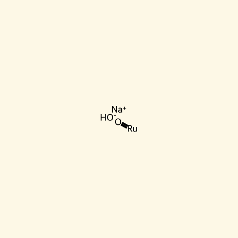 [Na+].[OH-].[O]=[Ru]